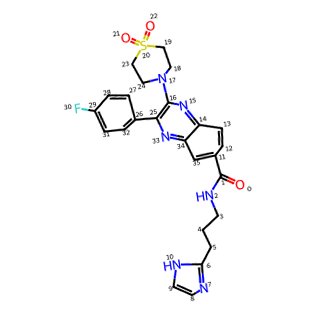 O=C(NCCCc1ncc[nH]1)c1ccc2nc(N3CCS(=O)(=O)CC3)c(-c3ccc(F)cc3)nc2c1